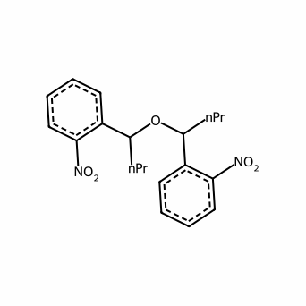 CCCC(OC(CCC)c1ccccc1[N+](=O)[O-])c1ccccc1[N+](=O)[O-]